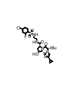 CC(C)(C)[C@@H](C(=O)N1C[C@H](O)C[C@H]1C(=O)NCCNS(=O)(=O)c1ccc(Cl)cc1F)n1cc(C2CC2)nn1